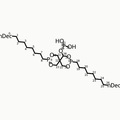 CCCCCCCCCCCCCCCCCCP1OCC2(CO1)COP(CCCCCCCCCCCCCCCCCC)OC2OP(O)O